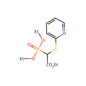 CCOC(=O)C(Sc1ccccn1)P(=O)(OCC)OCC